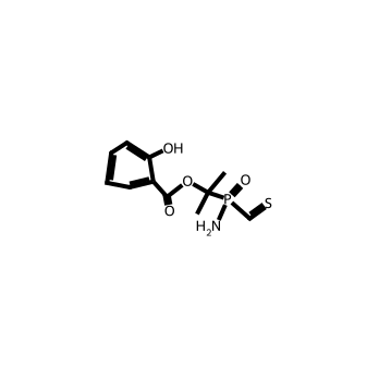 CC(C)(OC(=O)c1ccccc1O)P(N)(=O)C=S